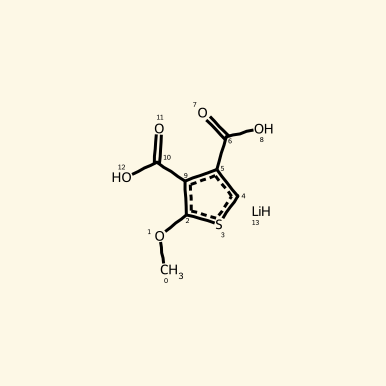 COc1scc(C(=O)O)c1C(=O)O.[LiH]